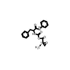 CC[C@@]1(C(=O)OC(=O)NC(Cc2ccccc2)C(=O)Nc2ccccc2)CO1